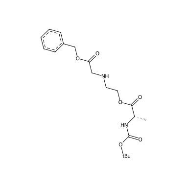 C[C@H](NC(=O)OC(C)(C)C)C(=O)OCCNCC(=O)OCc1ccccc1